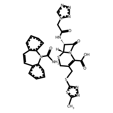 Cc1nnc(SCC2=C(C(=O)O)N3C(=O)[C@@H](NC(=O)Cn4cnnn4)[C@H]3SC2)s1.NC(=O)N1c2ccccc2C=Cc2ccccc21